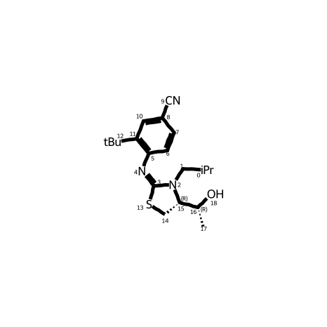 CC(C)CN1C(=Nc2ccc(C#N)cc2C(C)(C)C)SC[C@H]1[C@@H](C)O